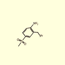 CC(C)Cc1cc(S(C)(=O)=O)ccc1N